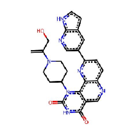 C=C(CO)N1CCC(n2c(=O)[nH]c(=O)c3cnc4ccc(-c5cnc6[nH]ccc6c5)nc4c32)CC1